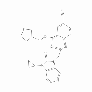 N#Cc1ccc2nc(Cn3c(=O)n(C4CC4)c4ccncc43)nc(OCC3CCOC3)c2c1